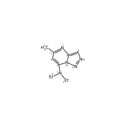 CCN(CC)c1cc(C)nc2cnnn12